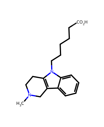 CN1CCc2c(c3ccccc3n2CCCCCC(=O)O)C1